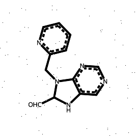 O=CC1Nc2cncnc2N1Cc1ccccn1